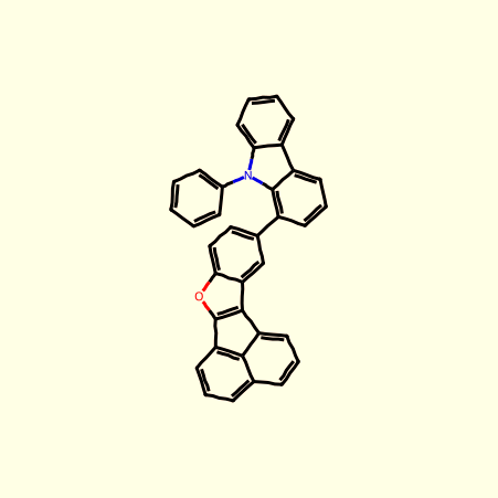 c1ccc(-n2c3ccccc3c3cccc(-c4ccc5oc6c(c5c4)-c4cccc5cccc-6c45)c32)cc1